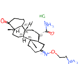 C[C@]12CC/C(=N/OCCN)CC1[C@@H](C(N)=O)C[C@@H]1[C@@H]2CC[C@]2(C)C(=O)CC[C@@H]12.Cl